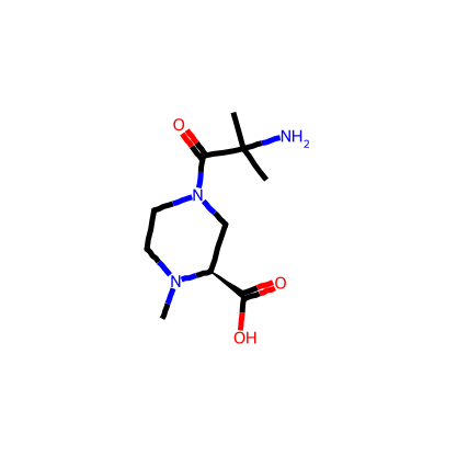 CN1CCN(C(=O)C(C)(C)N)C[C@H]1C(=O)O